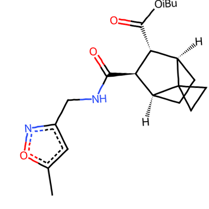 Cc1cc(CNC(=O)[C@H]2[C@H](C(=O)OCC(C)C)[C@H]3CC[C@@H]2C32CC2)no1